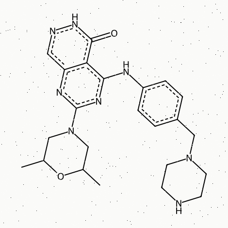 CC1CN(c2nc(Nc3ccc(CN4CCNCC4)cc3)c3c(=O)[nH]ncc3n2)CC(C)O1